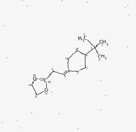 CC(C)(C)C1CCC(=CC[13CH]2OCCO2)CC1